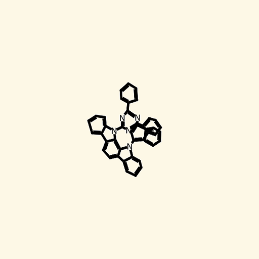 c1ccc(-c2nc(-c3ccccc3)nc(-n3c4ccccc4c4ccc5c6ccccc6n(-c6ccc7ccccc7c6)c5c43)n2)cc1